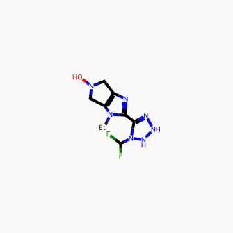 CCn1c(C2=NNNN2C(F)F)nc2c1CN(O)C2